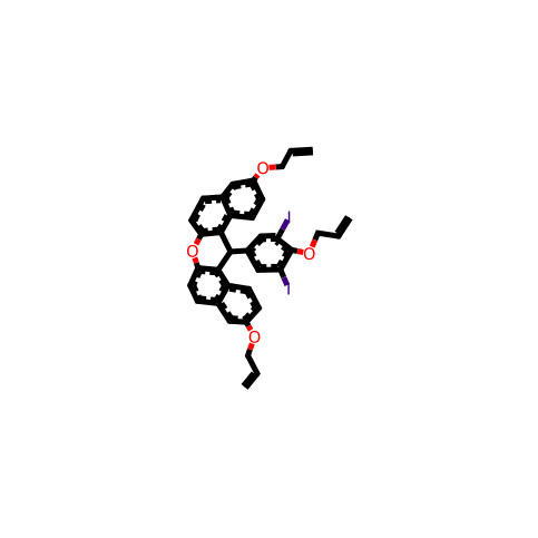 C=CCOc1ccc2c3c(ccc2c1)Oc1ccc2cc(OCC=C)ccc2c1C3c1cc(I)c(OCC=C)c(I)c1